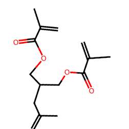 C=C(C)CC(COC(=O)C(=C)C)COC(=O)C(=C)C